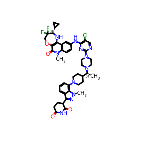 C[C@@H](C1CCN(c2cccc3c(C4CCC(=O)NC4=O)nn(C)c23)CC1)N1CCN(c2ncc(Cl)c(Nc3ccc4c(c3)c3c(c(=O)n4C)OCC(F)(F)[C@H](C4CC4)N3)n2)CC1